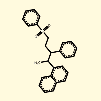 CC([C](CCS(=O)(=O)c1ccccc1)c1ccccc1)c1cccc2ccccc12